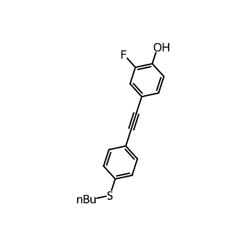 CCCCSc1ccc(C#Cc2ccc(O)c(F)c2)cc1